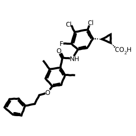 Cc1cc(OCCc2ccccc2)cc(C)c1C(=O)Nc1cc([C@@H]2C[C@@H]2C(=O)O)c(Cl)c(Cl)c1F